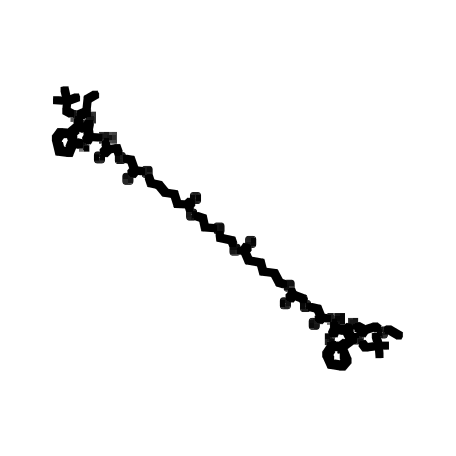 CCOCc1nc2c(NC(=O)COCC(=O)OCCCCCC(=O)OCCOCCOC(=O)CCCCCOC(=O)COCC(=O)Nc3nc4ccccc4c4c3nc(CC)n4CC(C)(C)C)nc3ccccc3c2n1CC(C)(C)C